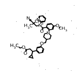 CCOC(=O)CC(c1cccc(OCC2CCN(c3cc(OC)ccc3C(=O)N(CC(C)(C)C#N)c3ccccn3)CC2)c1)C1CC1